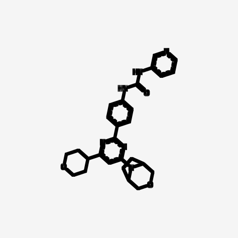 O=C(Nc1ccc(-c2nc(C3CCOCC3)cc(N3C4CCC3COC4)n2)cc1)Nc1cccnc1